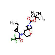 CC[C@@H]1C[C@H]1N(C(=O)C(F)(F)F)C1CCOC2(C1)CN(C(=O)OC(C)(C)C)C2